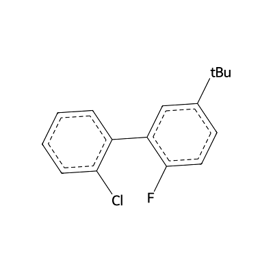 CC(C)(C)c1ccc(F)c(-c2ccccc2Cl)c1